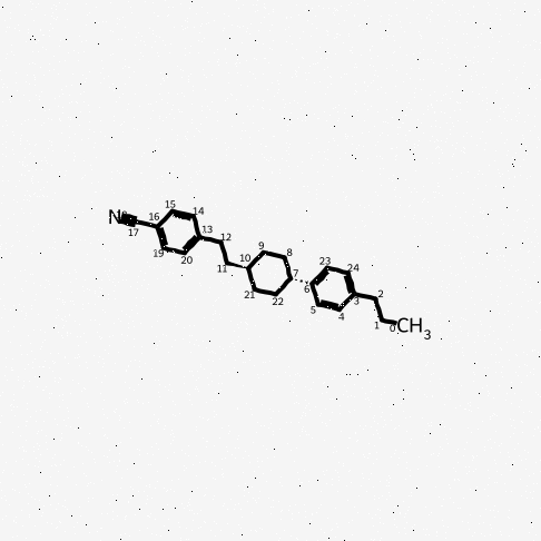 CCCc1ccc([C@H]2CC[C@H](CCc3ccc(C#N)cc3)CC2)cc1